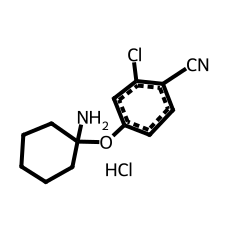 Cl.N#Cc1ccc(OC2(N)CCCCC2)cc1Cl